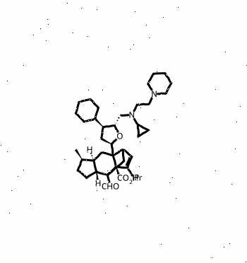 CC(C)C1=CC2CC3(C=O)[C@@H]4CC[C@@H](C)[C@H]4CC2([C@H]2C[C@@H](C4CCCCC4)[C@H](CN(CCN4CCCCC4)C4CC4)O2)[C@]13C(=O)O